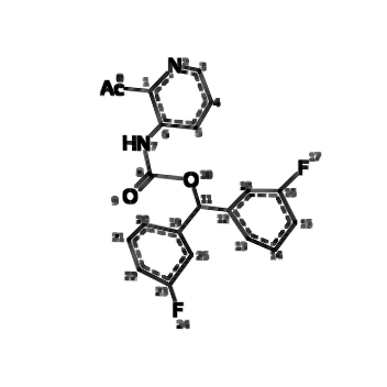 [CH2]C(=O)c1ncccc1NC(=O)OC(c1cccc(F)c1)c1cccc(F)c1